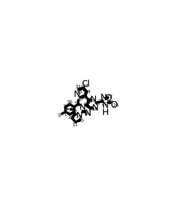 CC1CCC(C(C)n2c(N3CCC[C@H]3CF)nc3nc(-c4noc(=O)[nH]4)nc(-c4cncc(Cl)c4)c32)CC1